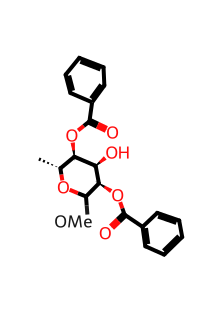 COC1O[C@H](C)[C@@H](OC(=O)c2ccccc2)[C@@H](O)[C@H]1OC(=O)c1ccccc1